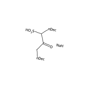 CCCCCCCCCCCC(=O)C(CCCCCCCCCC)S(=O)(=O)O.[NaH]